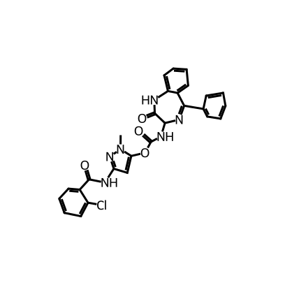 Cn1nc(NC(=O)c2ccccc2Cl)cc1OC(=O)NC1N=C(c2ccccc2)c2ccccc2NC1=O